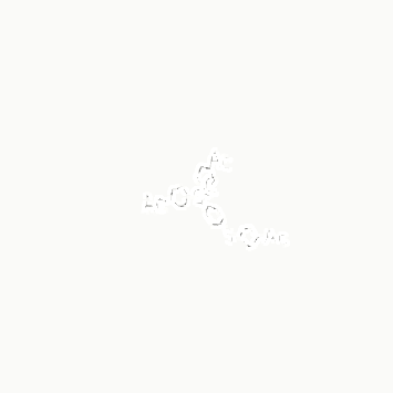 CC(=O)c1ccc(Sc2ccc([S+](c3ccc(C(C)=O)cc3)c3ccc(C(C)=O)cc3)cc2)cc1